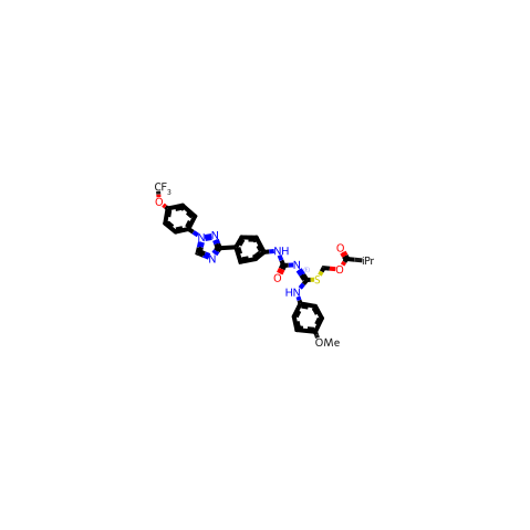 COc1ccc(N/C(=N\C(=O)Nc2ccc(-c3ncn(-c4ccc(OC(F)(F)F)cc4)n3)cc2)SCOC(=O)C(C)C)cc1